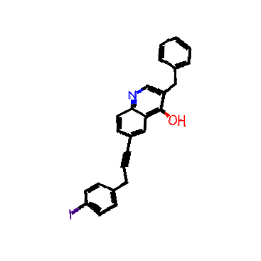 Oc1c(Cc2ccccc2)cnc2ccc(C#CCc3ccc(I)cc3)cc12